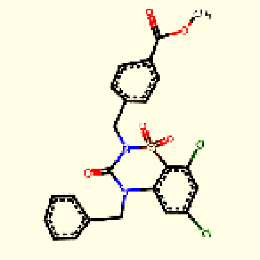 COC(=O)c1ccc(CN2C(=O)N(Cc3ccccc3)c3cc(Cl)cc(Cl)c3S2(=O)=O)cc1